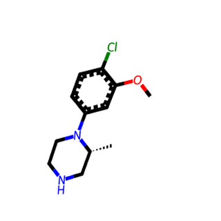 COc1cc(N2CCNC[C@H]2C)ccc1Cl